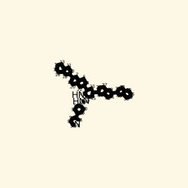 N=C1C(c2ccc3cc(-c4ccc5ccccc5c4)ccc3c2)=CC(c2ccc3cc(-c4ccc5ccccc5c4)ccc3c2)=C/C1=N/Nc1ccc(-c2cccnc2)cc1